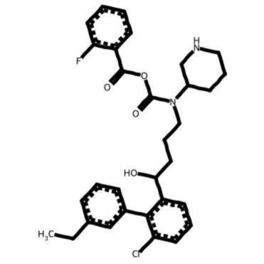 CCc1cccc(-c2c(Cl)cccc2C(O)CCCN(C(=O)OC(=O)c2ccccc2F)C2CCCNC2)c1